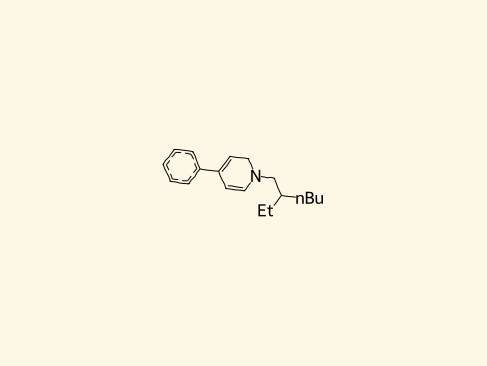 CCCCC(CC)CN1C=CC(c2ccccc2)=CC1